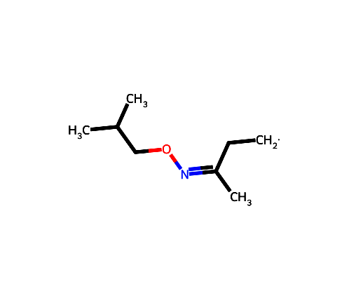 [CH2]C/C(C)=N\OCC(C)C